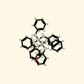 c1ccc(O[Si](Oc2ccccc2)(Oc2ccccc2)[Si](Oc2ccccc2)(Oc2ccccc2)Oc2ccccc2)cc1